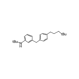 CC(C)(C)CCCc1ccc(Cc2cccc(NC(C)(C)C)c2)cc1